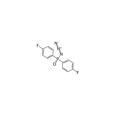 [N-]=[N+]=NP(=O)(c1ccc(F)cc1)c1ccc(F)cc1